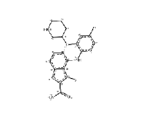 Cc1ccc(Nc2ncnc3sc(C(N)=O)c(C)c23)c(OC2CCCNC2)c1